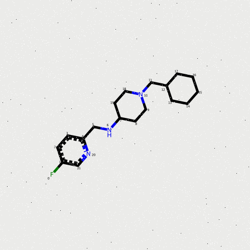 Fc1ccc(CNC2CCN(CC3CCCCC3)CC2)nc1